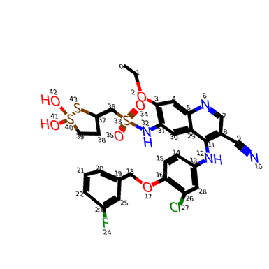 CCOc1cc2ncc(C#N)c(Nc3ccc(OCc4cccc(F)c4)c(Cl)c3)c2cc1NS(=O)(=O)CC1CCS(O)(O)S1